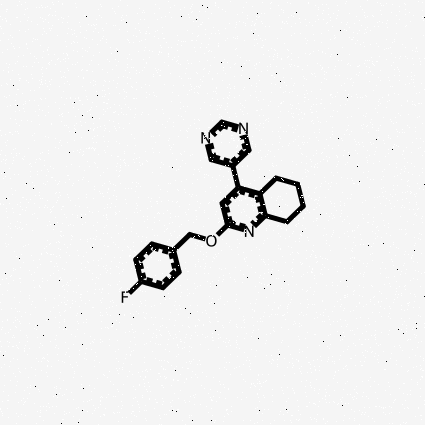 Fc1ccc(COc2cc(-c3cncnc3)c3c(n2)CCCC3)cc1